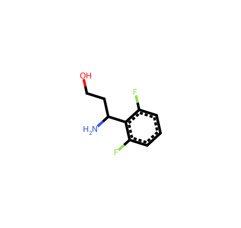 NC(CCO)c1c(F)cccc1F